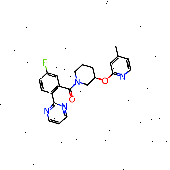 Cc1ccnc(O[C@@H]2CCCN(C(=O)c3cc(F)ccc3-c3ncccn3)C2)c1